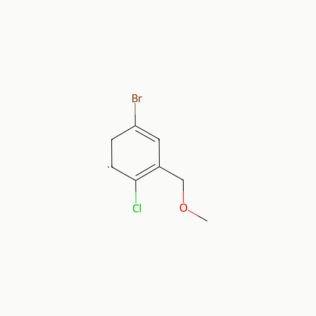 COCC1=C(Cl)[CH]CC(Br)=C1